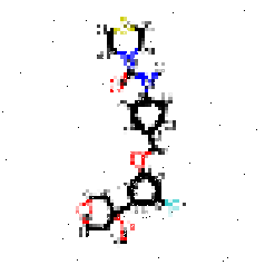 COC1(c2cc(F)cc(OCc3ccc(N(C)C(=O)N4CCSCC4)cc3)c2)CCOCC1